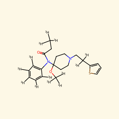 [2H]c1c([2H])c([2H])c(N(C(=O)CC([2H])([2H])[2H])C2(OC([2H])([2H])[2H])CCN(CC([2H])([2H])c3cccs3)CC2)c([2H])c1[2H]